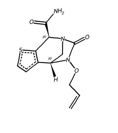 C=CCON1C(=O)N2C[C@H]1c1ccsc1[C@H]2C(N)=O